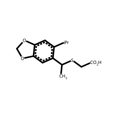 CC(C)c1cc2c(cc1C(C)SCC(=O)O)OCO2